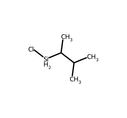 CC(C)C(C)[SiH2]Cl